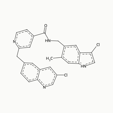 Cc1cc2[nH]cc(Cl)c2cc1CNC(=O)c1ccnc(Cc2ccc3ncc(Cl)cc3c2)c1